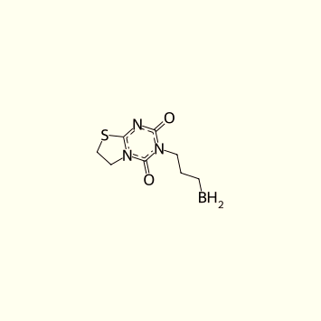 BCCCn1c(=O)nc2n(c1=O)CCS2